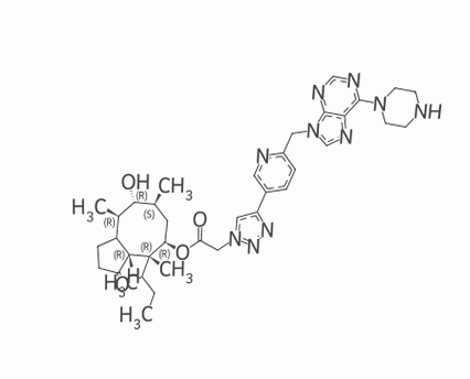 CCC(C)[C@]1(C)[C@@H]2C(=O)CCC2[C@@H](C)[C@H](O)[C@@H](C)C[C@H]1OC(=O)Cn1cc(-c2ccc(Cn3cnc4c(N5CCNCC5)ncnc43)nc2)nn1